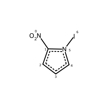 O=[N+]([O-])c1cccn1I